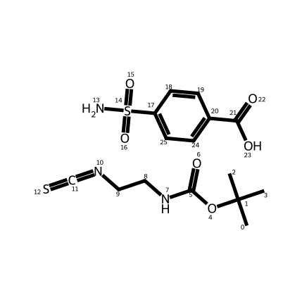 CC(C)(C)OC(=O)NCCN=C=S.NS(=O)(=O)c1ccc(C(=O)O)cc1